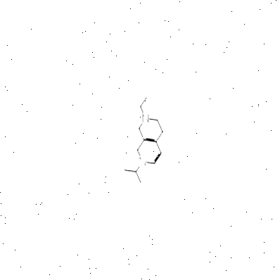 CCN1CCC2=C(C1)CN(C(C)C)C=C2